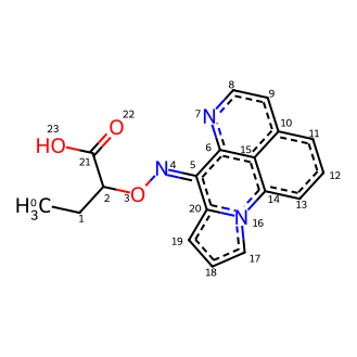 CCC(O/N=c1/c2nccc3cccc(c32)n2cccc12)C(=O)O